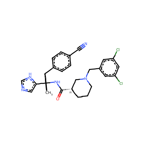 CC(Cc1ccc(C#N)cc1)(NC(=O)[C@H]1CCCN(Cc2cc(Cl)cc(Cl)c2)C1)c1cnc[nH]1